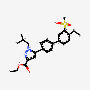 CCOC(=O)c1cc(-c2ccc(-c3ccc(CC)c(S(C)(=O)=O)c3)cc2)n(CC(C)C)n1